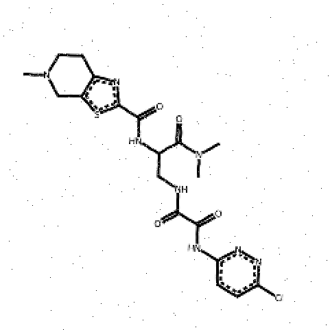 CN1CCc2nc(C(=O)NC(CNC(=O)C(=O)Nc3ccc(Cl)nn3)C(=O)N(C)C)sc2C1